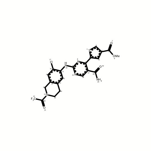 COC(=O)c1csc(-c2nc(Nc3cc4c(cc3Cl)CN(C(=O)C(F)(F)F)CC4)ncc2C(N)=O)c1